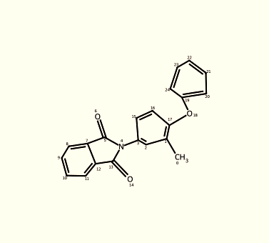 Cc1cc(N2C(=O)c3ccccc3C2=O)ccc1Oc1ccccc1